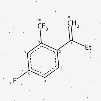 C=C(CC)c1ccc(F)cc1C(F)(F)F